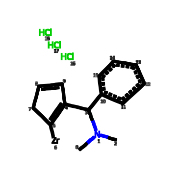 CN(C)C(C1=[C]([Zr])CC=C1)c1ccccc1.Cl.Cl.Cl